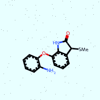 CSC1C(=O)Nc2c(Oc3ccccc3N)cccc21